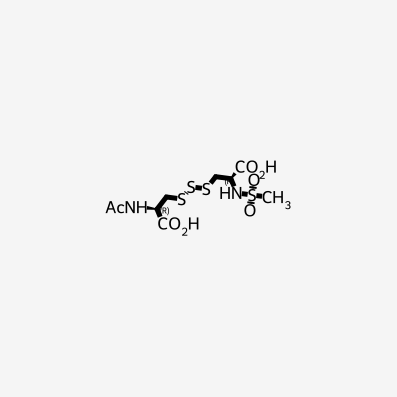 CC(=O)N[C@@H](CSSSC[C@H](NS(C)(=O)=O)C(=O)O)C(=O)O